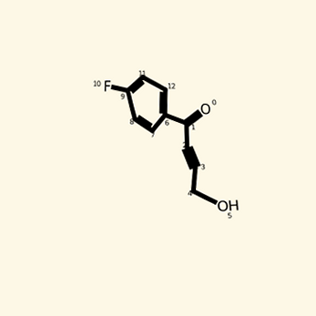 O=C(C#CCO)c1ccc(F)cc1